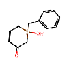 O=C1C[CH]CS(O)(Cc2ccccc2)C1